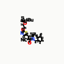 Cc1cccc(CN(C(=O)C(C#N)=Cc2cnc(OCCO[Si](C)(C)C(C)(C)C)s2)C2CC2)c1C